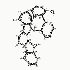 N#Cc1cccnc1-c1ccccc1-n1c2ccccc2c2ccc3c4ccccc4oc3c21